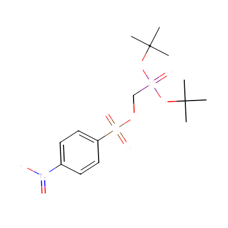 CC(C)(C)OP(=O)(COS(=O)(=O)c1ccc([N+](=O)[O-])cc1)OC(C)(C)C